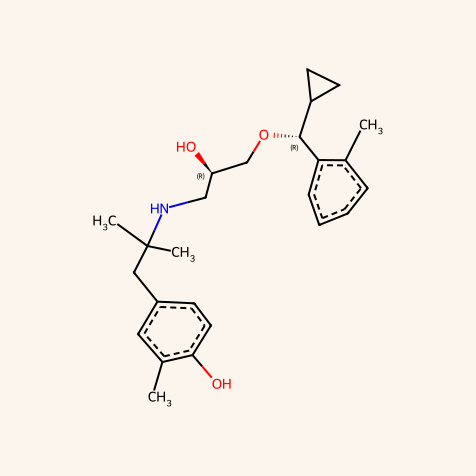 Cc1cc(CC(C)(C)NC[C@@H](O)CO[C@@H](c2ccccc2C)C2CC2)ccc1O